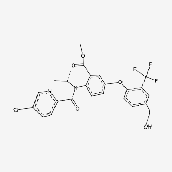 COC(=O)c1cc(Oc2ccc(CO)cc2C(F)(F)F)ccc1N(C(=O)c1ccc(Cl)cn1)C(C)C